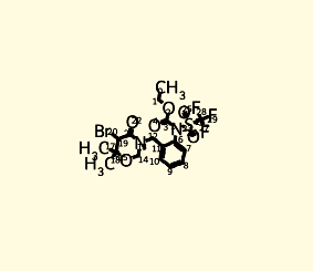 CCOC(=O)N(c1ccccc1CN1COC(C)(C)C(Br)C1=O)S(=O)(=O)C(F)(F)F